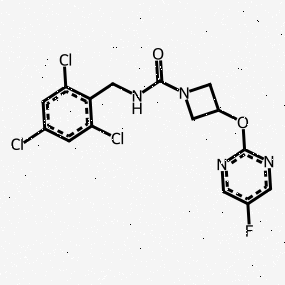 O=C(NCc1c(Cl)cc(Cl)cc1Cl)N1CC(Oc2ncc(F)cn2)C1